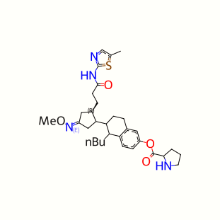 CCCCC1c2ccc(OC(=O)C3CCCN3)cc2CCC1C1C/C(=N/OC)C[C@H]1CCC(=O)Nc1ncc(C)s1